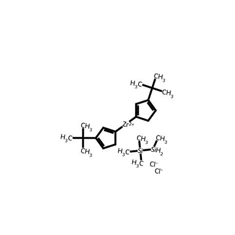 CC(C)(C)C1=CC[C]([Zr+2][C]2=CC(C(C)(C)C)=CC2)=C1.C[SiH2][Si](C)(C)C.[Cl-].[Cl-]